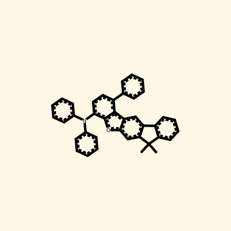 CC1(C)c2ccccc2-c2cc3c(cc21)oc1c(N(c2ccccc2)c2ccccc2)ccc(-c2ccccc2)c13